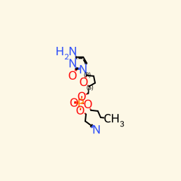 CCCCOP(=O)(OCCC#N)OC[C@@H]1CC[C@H](n2ccc(N)nc2=O)O1